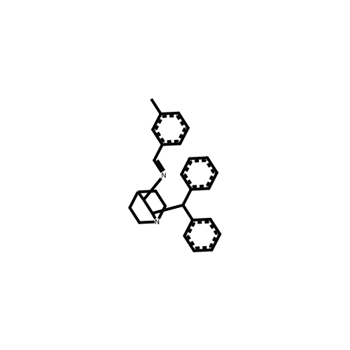 Cc1cccc(C=NC2C3CCN(CC3)C2C(c2ccccc2)c2ccccc2)c1